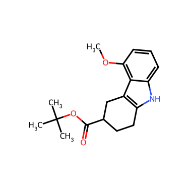 COc1cccc2[nH]c3c(c12)CC(C(=O)OC(C)(C)C)CC3